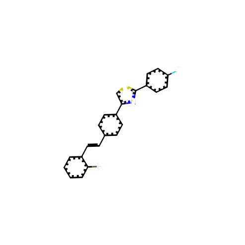 Fc1ccc(-c2nc(-c3ccc(C=Cc4ccccc4Br)cc3)cs2)cc1